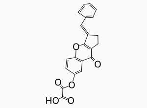 O=C(O)C(=O)Oc1ccc2oc3c(c(=O)c2c1)CC/C3=C\c1ccccc1